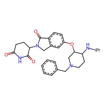 CC(C)NC1CCN(Cc2ccccc2)CC1Oc1ccc2c(c1)CN(C1CCC(=O)NC1=O)C2=O